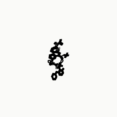 Cc1cccc(CC2CCCCC2)c1-c1nc2nc(c1C)OC[C@@H](CC(C)(C)C)C(Cc1cccc(N(C)C(C)C)n1)c1cccc(c1)S(=O)(=O)N2